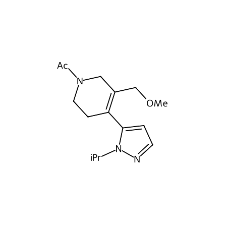 COCC1=C(c2ccnn2C(C)C)CCN(C(C)=O)C1